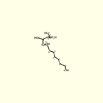 CCCCC(O)O.O=C(O)O.OCCCCCCO